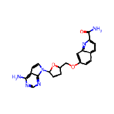 NC(=O)c1ccc2ccc(OCC3CCC(n4ccc5c(N)ncnc54)O3)cc2n1